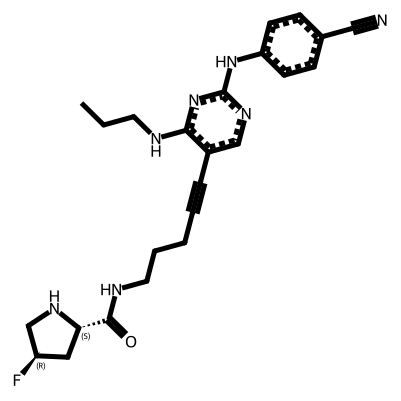 CCCNc1nc(Nc2ccc(C#N)cc2)ncc1C#CCCCNC(=O)[C@@H]1C[C@@H](F)CN1